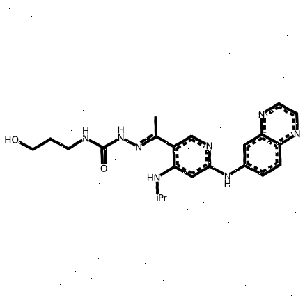 C/C(=N\NC(=O)NCCCO)c1cnc(Nc2ccc3nccnc3c2)cc1NC(C)C